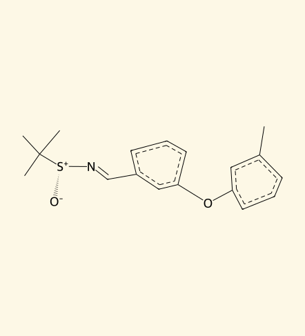 Cc1cccc(Oc2cccc(C=N[S@+]([O-])C(C)(C)C)c2)c1